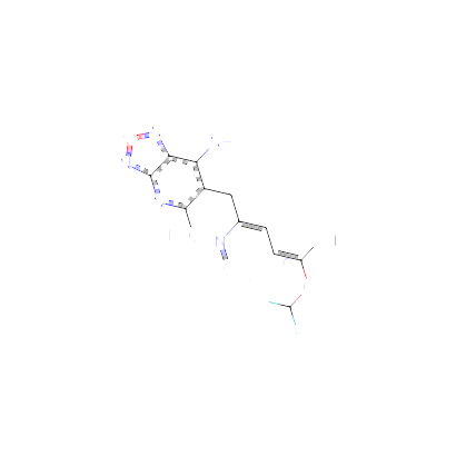 C=N/C(=C\C=C(/C)OC(F)F)Cc1c(C)nc2nonc2c1N